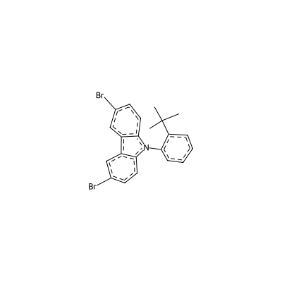 CC(C)(C)c1ccccc1-n1c2ccc(Br)cc2c2cc(Br)ccc21